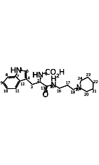 O=C(O)NC(Cc1c[nH]c2ccccc12)C(=O)NCCCN1CCCCC1